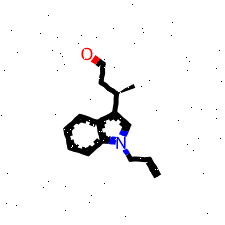 C=CCn1cc([C@H](C)CC=O)c2ccccc21